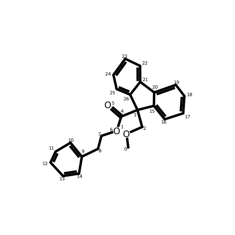 COCC1(C(=O)OCCc2ccccc2)c2ccccc2-c2ccccc21